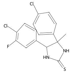 CC1(c2ccc(Cl)cc2)NC(=S)NC1c1ccc(Cl)c(F)c1